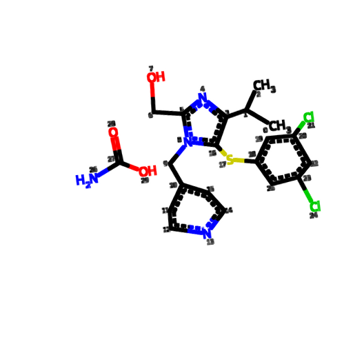 CC(C)c1nc(CO)n(Cc2ccncc2)c1Sc1cc(Cl)cc(Cl)c1.NC(=O)O